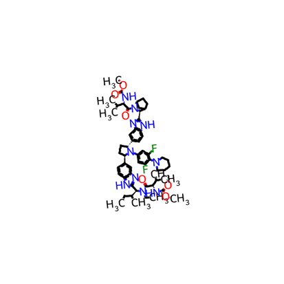 CCC(C)[C@@H](c1nc2cc([C@H]3CC[C@H](c4ccc5[nH]c([C@@H]6C7CCC(C7)N6C(=O)[C@@H](NC(=O)OC)C(C)C)nc5c4)N3c3cc(F)c(N4CCCCC4)c(F)c3)ccc2[nH]1)N(CC)C(=O)[C@@H](NC(=O)OC)C(C)C